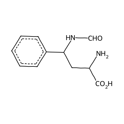 NC(CC(NC=O)c1ccccc1)C(=O)O